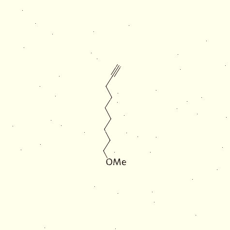 C#CCCCCCCCOC